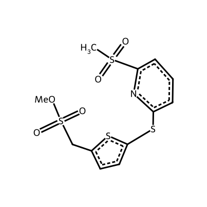 COS(=O)(=O)Cc1ccc(Sc2cccc(S(C)(=O)=O)n2)s1